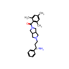 Cc1cc(C)c(C(=O)N2CC3CN(CC[C@H](N)c4ccccc4)CC3C2)c(C)c1